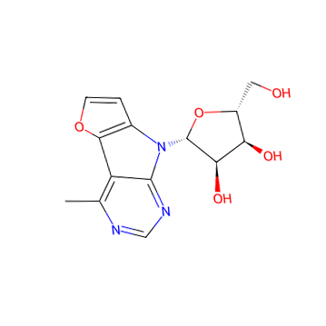 Cc1ncnc2c1c1occc1n2[C@@H]1O[C@H](CO)[C@@H](O)[C@H]1O